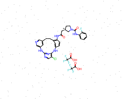 O=C(C[C@H]1CCN(C(=O)Nc2ccccc2F)C1)Nc1ccc2cc1CCc1cncc(c1)Nc1ncc(Cl)c(n1)N2.O=C(O)C(F)(F)F.O=C(O)C(F)(F)F